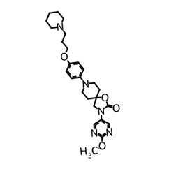 COc1ncc(N2CC3(CCN(c4ccc(OCCCN5CCCCC5)cc4)CC3)OC2=O)cn1